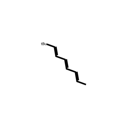 C/C=C/C=C/C=C/C(C)(C)C